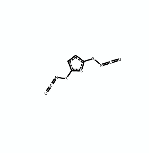 O=C=NSc1ccc(SN=C=O)s1